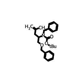 C=C(C)CC(COCc1ccccc1)N(Cc1ccccc1)C(=O)OC(C)(C)C